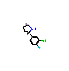 C[C@H]1CC[C@H](c2ccc(F)c(Cl)c2)N1